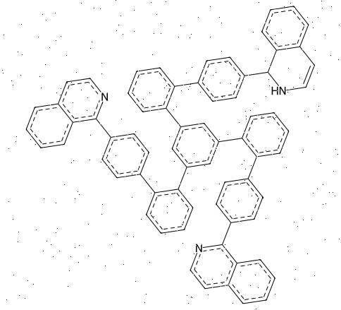 C1=Cc2ccccc2C(c2ccc(-c3ccccc3-c3cc(-c4ccccc4-c4ccc(-c5nccc6ccccc56)cc4)cc(-c4ccccc4-c4ccc(-c5nccc6ccccc56)cc4)c3)cc2)N1